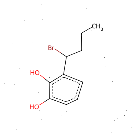 CCCC(Br)c1cccc(O)c1O